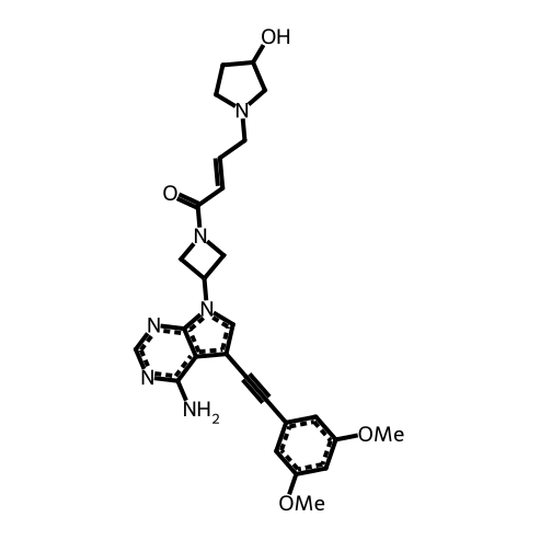 COc1cc(C#Cc2cn(C3CN(C(=O)C=CCN4CCC(O)C4)C3)c3ncnc(N)c23)cc(OC)c1